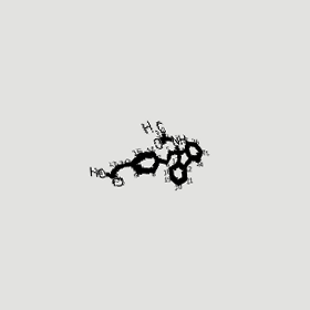 CC(=O)NC1(CCc2ccc(CC(=O)O)cc2)c2ccccc2-c2ccccc21